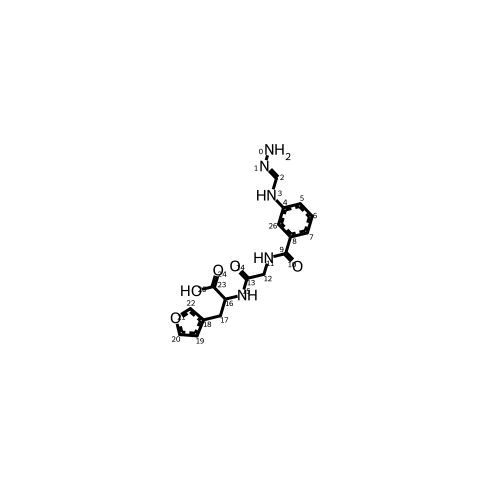 NN=CNc1cccc(C(=O)NCC(=O)NC(Cc2ccoc2)C(=O)O)c1